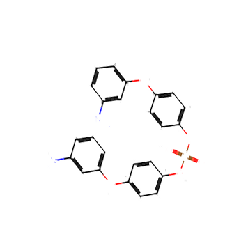 Nc1cccc(Oc2ccc(OS(=O)(=O)Oc3ccc(Oc4cccc(N)c4)cc3)cc2)c1